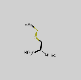 CCCCSSC[C@H](NC(C)=O)C(=O)O